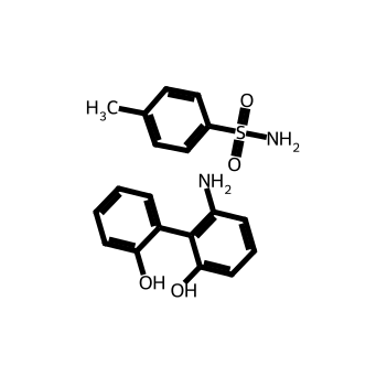 Cc1ccc(S(N)(=O)=O)cc1.Nc1cccc(O)c1-c1ccccc1O